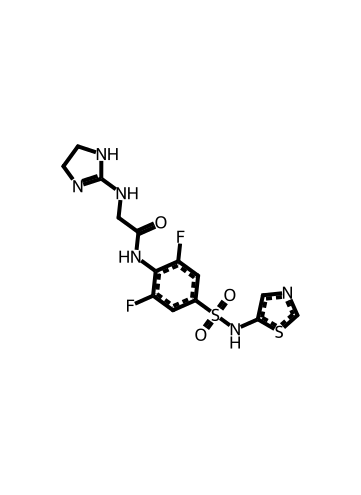 O=C(CNC1=NCCN1)Nc1c(F)cc(S(=O)(=O)Nc2cncs2)cc1F